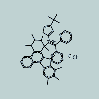 Cc1cc2c(c(C)c1C)C(C)c1c3c(c4ccccc4c1-2)C(C)C(C)C(C)[C]3(C)[Zr+2]([C]1=CC(C(C)(C)C)=CC1)=[C](c1ccccc1)c1ccccc1.[Cl-].[Cl-]